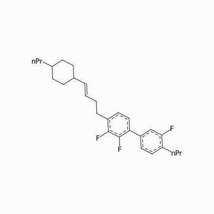 CCCc1ccc(-c2ccc(CC/C=C/C3CCC(CCC)CC3)c(F)c2F)cc1F